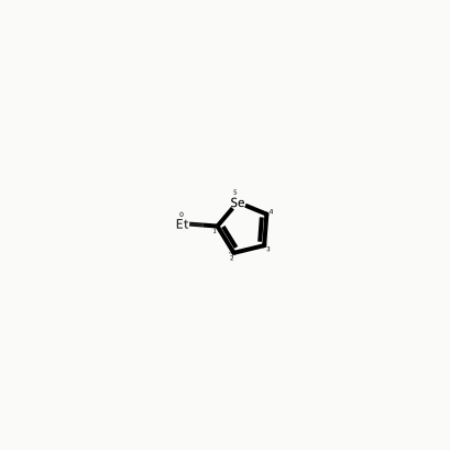 CCc1[c]cc[se]1